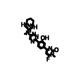 CN(c1cnc(-c2ccc(-c3cc(F)n(C)c(=O)n3)cc2O)nn1)C1C[C@H]2CCC[C@H](C1)N2